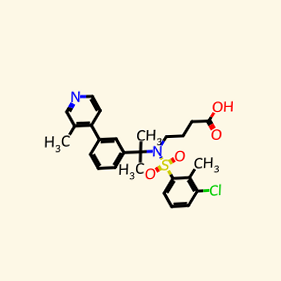 Cc1cnccc1-c1cccc(C(C)(C)N(CCCC(=O)O)S(=O)(=O)c2cccc(Cl)c2C)c1